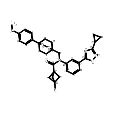 COc1ccc(C23CCC(CN(C(=O)C45CC(F)(C4)C5)c4cccc(-c5nc(C6CC6)no5)c4)(CC2)CO3)cc1